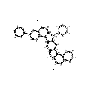 c1ccc(-c2ccc3c(ccc4c3c3cc5sc6ccc7ccccc7c6c5cc3n4-c3ccccc3)c2)cc1